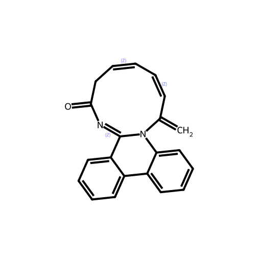 C=C1/C=C\C=C/CC(=O)/N=C2/c3ccccc3-c3ccccc3N12